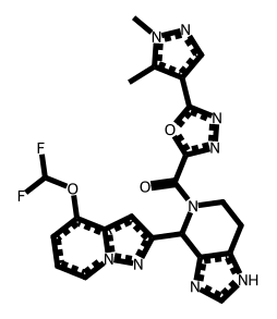 Cc1c(-c2nnc(C(=O)N3CCc4[nH]cnc4C3c3cc4c(OC(F)F)cccn4n3)o2)cnn1C